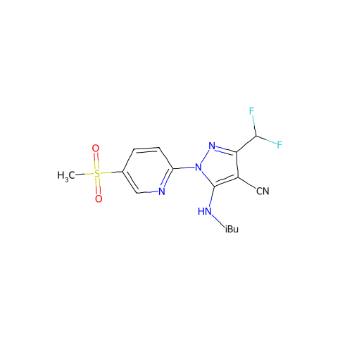 CCC(C)Nc1c(C#N)c(C(F)F)nn1-c1ccc(S(C)(=O)=O)cn1